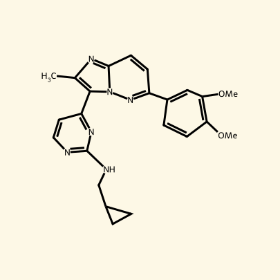 COc1ccc(-c2ccc3nc(C)c(-c4ccnc(NCC5CC5)n4)n3n2)cc1OC